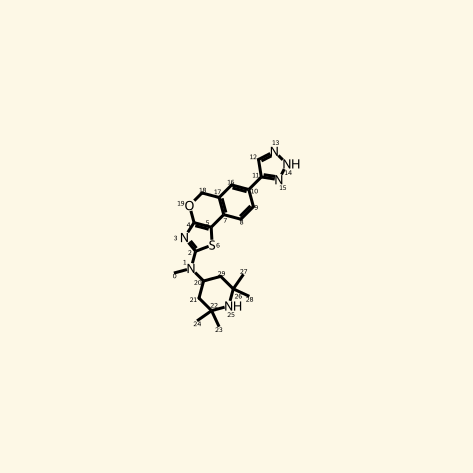 CN(c1nc2c(s1)-c1ccc(-c3cn[nH]n3)cc1CO2)C1CC(C)(C)NC(C)(C)C1